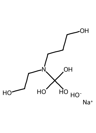 OCCCN(CCO)C(O)(O)O.[Na+].[OH-]